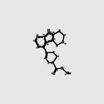 CC(C)(C)OC(=O)N1CC=C(c2ncnc3[nH]c4c(c23)COCC4)CC1